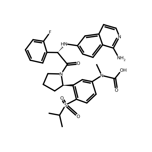 CC(C)S(=O)(=O)c1ccc(N(C)C(=O)O)cc1[C@H]1CCCN1C(=O)[C@@H](Nc1ccc2c(N)nccc2c1)c1ccccc1F